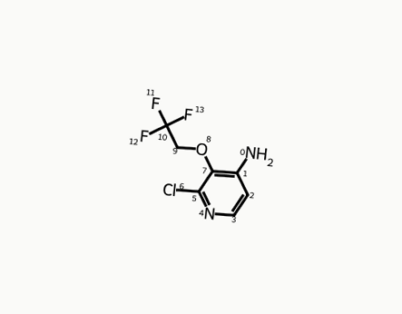 Nc1ccnc(Cl)c1OCC(F)(F)F